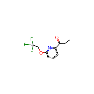 CCC(=O)c1cccc(OCC(F)(F)F)n1